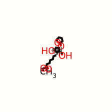 COC(=O)CCCCCC[C@H]1[C@H](CO)[C@@H](OC2CCCCO2)C[C@H]1O